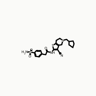 N#Cc1c(NC(=O)Cc2ccc(S(N)(=O)=O)cc2)sc2c1CN(CC1CCCC1)CC2